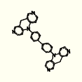 c1cc2c(cn1)Cc1cnccc1N2c1ccc(-c2ccc(N3c4ccncc4Cc4cnccc43)cc2)cc1